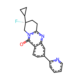 O=c1c2ccc(-c3ccccn3)cc2nc2n1C[C@@](F)(C1CC1)CC2